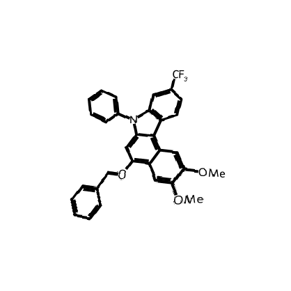 COc1cc2c(OCc3ccccc3)cc3c(c2cc1OC)c1ccc(C(F)(F)F)cc1n3-c1ccccc1